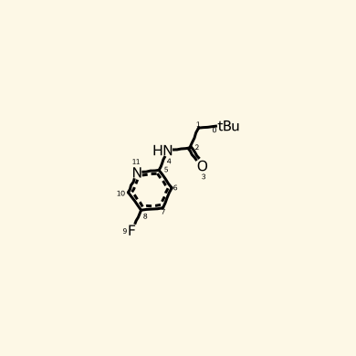 CC(C)(C)CC(=O)Nc1ccc(F)cn1